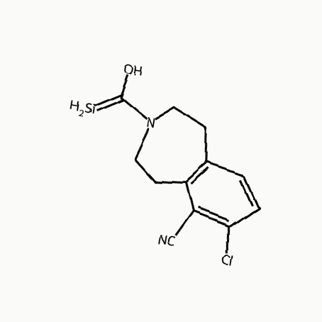 N#Cc1c(Cl)ccc2c1CCN(C(O)=[SiH2])CC2